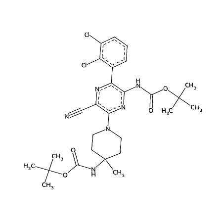 CC1(NC(=O)OC(C)(C)C)CCN(c2nc(NC(=O)OC(C)(C)C)c(-c3cccc(Cl)c3Cl)nc2C#N)CC1